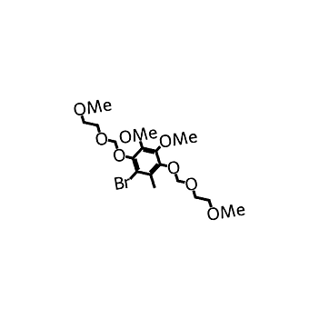 COCCOCOc1c(C)c(Br)c(OCOCCOC)c(OC)c1OC